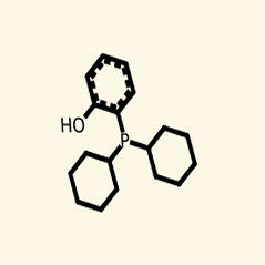 Oc1ccccc1P(C1CCCCC1)C1CCCCC1